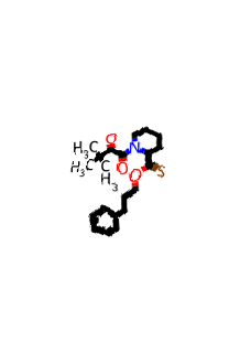 CC(C)(C)C(=O)C(=O)N1CCCCC1C(=S)OCCCc1ccccc1